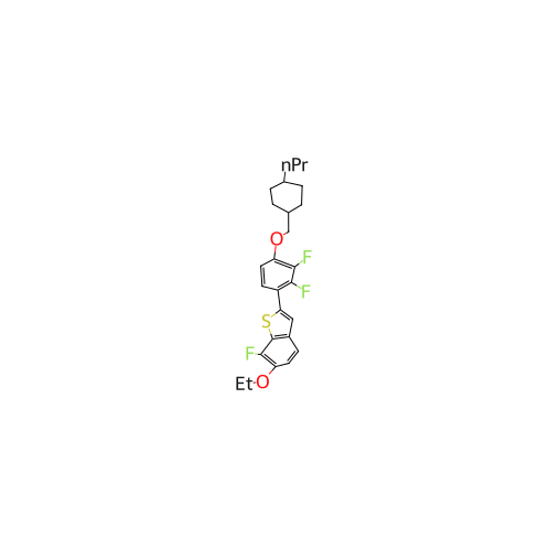 CCCC1CCC(COc2ccc(-c3cc4ccc(OCC)c(F)c4s3)c(F)c2F)CC1